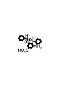 Nc1cc(C(=O)O)cc(S(=O)(=O)Nc2ccccc2)c1Nc1ccccc1